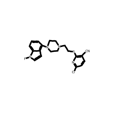 N#Cc1ccc(Cl)nc1SCCN1CCN(c2cccc3c2ccn3F)CC1